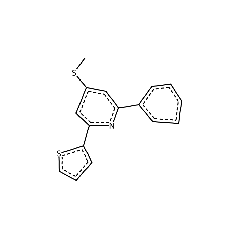 CSc1cc(-c2ccccc2)nc(-c2cccs2)c1